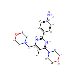 Cc1c(CN2CCOCC2)nc(-c2ccc(N)cc2)nc1N1CCOCC1